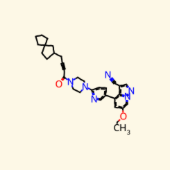 CCOc1cc(-c2ccc(N3CCN(C(=O)C#CCC4CCC5(CCCC5)C4)CC3)nc2)c2c(C#N)cnn2c1